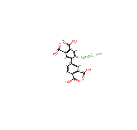 Cl.Cl.Cl.Cl.O=C(O)c1ccc(-c2ccc(C(=O)O)c(C(=O)O)c2)cc1C(=O)O